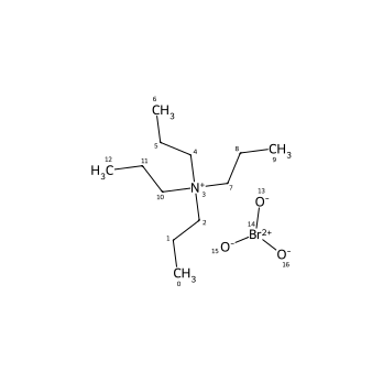 CCC[N+](CCC)(CCC)CCC.[O-][Br+2]([O-])[O-]